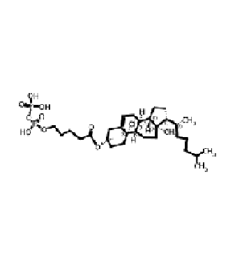 CC(C)CCC[C@@H](C)[C@H]1CC[C@H]2[C@@H]3CC=C4C[C@@H](OC(=O)CCCCOP(=O)(O)OP(=O)(O)O)CC[C@]4(C)[C@H]3CC[C@]12C